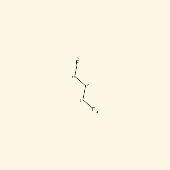 F[CH]CCF